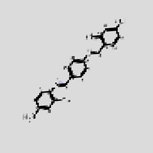 Bc1ccc(/N=C/c2ccc(OCc3ccc(Cl)cc3Cl)cc2)c(F)c1